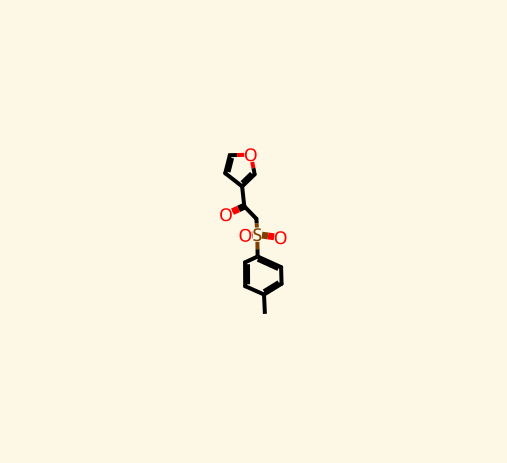 Cc1ccc(S(=O)(=O)CC(=O)c2ccoc2)cc1